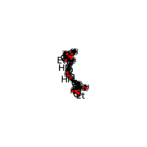 CCC(C)(C)C(=O)C(=O)N1CCCC[C@H]1C(=O)O[C@H](CCc1ccccc1)c1cccc(OCCCNC(=O)Cc2ccc(CC(=O)NCCCOc3cccc([C@@H](CCc4ccccc4)OC(=O)[C@@H]4CCCCN4C(=O)C(=O)C(C)(C)CC)c3)cc2)c1